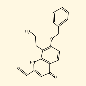 CCCc1c(OCc2ccccc2)ccc2c(=O)cc(C=O)[nH]c12